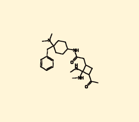 CNC1(NC)C(CC(=O)NC2CCC(Cc3ccccc3)(N(C)C)CC2)CC1C(C)=O